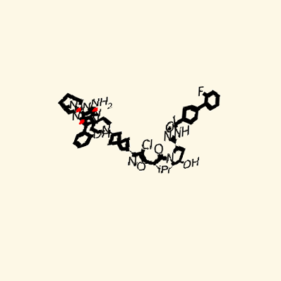 CC(C)[C@@H](C(=O)N1C[C@H](O)C[C@H]1C1=NO[C@](C)(c2ccc(-c3ccccc3F)cc2)N1)c1onc([C@H]2CC3(C2)C[C@H](N2CCC(c4cnc(N5C6CCC5CN(c5cc(-c7ccccc7O)nnc5N)C6)nc4)CC2)C3)c1Cl